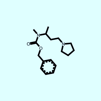 CC(CCN1CCCC1)N(C)C(=O)OCc1ccccc1